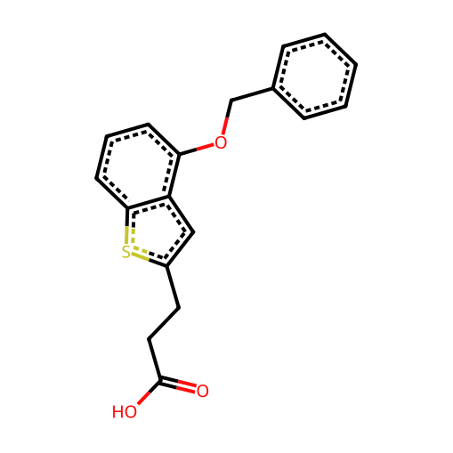 O=C(O)CCc1cc2c(OCc3ccccc3)cccc2s1